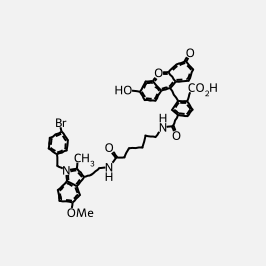 COc1ccc2c(c1)c(CCNC(=O)CCCCCNC(=O)c1ccc(C(=O)O)c(-c3c4ccc(=O)cc-4oc4cc(O)ccc34)c1)c(C)n2Cc1ccc(Br)cc1